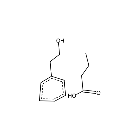 CCCC(=O)O.OCCc1ccccc1